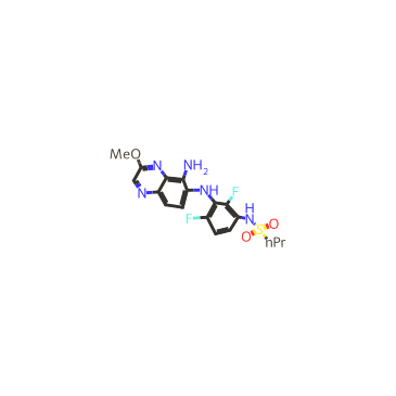 CCCS(=O)(=O)Nc1ccc(F)c(Nc2ccc3ncc(OC)nc3c2N)c1F